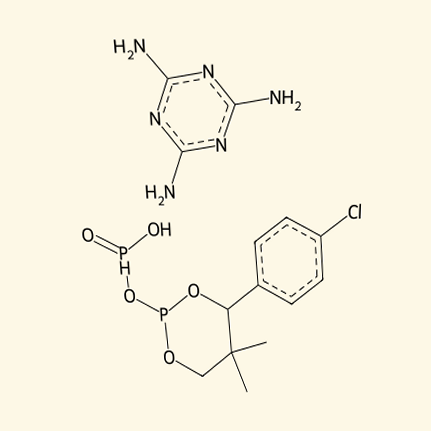 CC1(C)COP(O[PH](=O)O)OC1c1ccc(Cl)cc1.Nc1nc(N)nc(N)n1